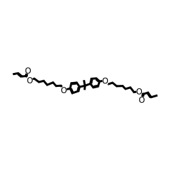 CC=CC(=O)OCCCCCCCOc1ccc(C(C)(C)c2ccc(OCCCCCCCOC(=O)C=CC)cc2)cc1